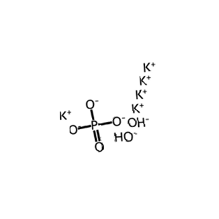 O=P([O-])([O-])[O-].[K+].[K+].[K+].[K+].[K+].[OH-].[OH-]